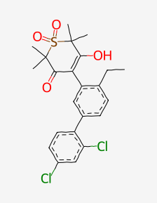 CCc1ccc(-c2ccc(Cl)cc2Cl)cc1C1=C(O)C(C)(C)S(=O)(=O)C(C)(C)C1=O